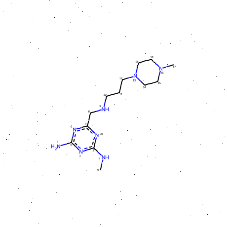 CNc1nc(N)nc(CNCCCN2CCN(C)CC2)n1